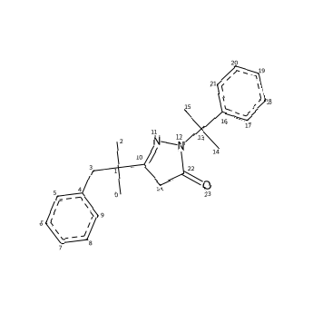 CC(C)(Cc1ccccc1)C1=NN(C(C)(C)c2ccccc2)C(=O)C1